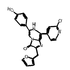 O=c1c(Cc2ccco2)nc2c(-c3ccnc(Cl)c3)[nH]c(-c3ccc(O)cc3)cn1-2